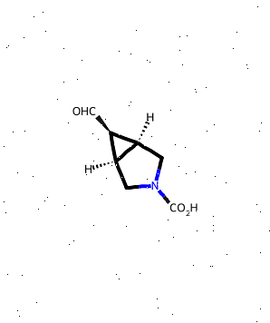 O=C[C@H]1[C@H]2CN(C(=O)O)C[C@@H]12